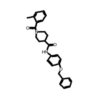 Cc1ccccc1C(=O)N1CCC(C(=O)Nc2ccc(OCc3ccccc3)cc2)CC1